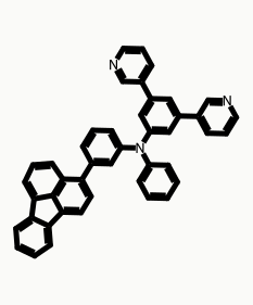 c1ccc(N(c2cc(-c3cccnc3)cc(-c3cccnc3)c2)c2cccc(-c3ccc4c5c(cccc35)-c3ccccc3-4)c2)cc1